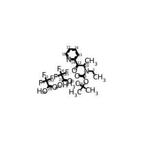 CCN(C(=O)OC(C)(C)C)C(C)C(=O)c1ccccn1.O=C(O)C(F)(F)F.O=C(O)C(F)(F)F